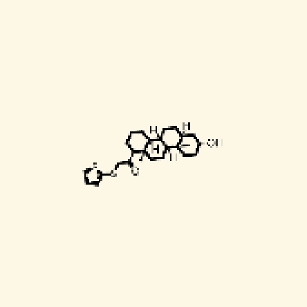 C[C@]12CC[C@@H](O)C[C@@H]1CC[C@@H]1[C@@H]2CC[C@]2(C)[C@@H](C(=O)CSc3cccs3)CCC[C@@H]12